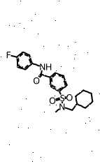 CN(CC1CCCCC1)S(=O)(=O)c1cccc(C(=O)Nc2ccc(F)cc2)c1